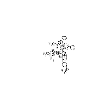 CCNC(=O)[C@H]1O[C@@H](n2cnc3c(NCc4ccc(OC)cc4)nc(CNS(=O)(=O)CC(C)C)nc32)[C@H](OC(=O)c2ccccc2)[C@@H]1OC(=O)c1ccccc1